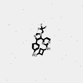 OC1CC(Nc2nccc(-c3c(-c4ccc(F)cc4)ncn3CC(F)(F)F)n2)C1